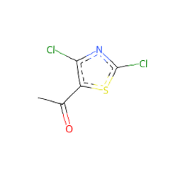 CC(=O)c1sc(Cl)nc1Cl